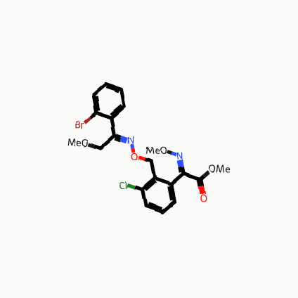 COC/C(=N\OCc1c(Cl)cccc1/C(=N\OC)C(=O)OC)c1ccccc1Br